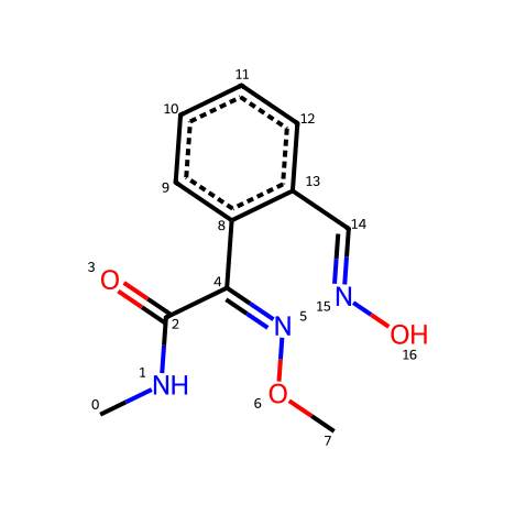 CNC(=O)C(=NOC)c1ccccc1C=NO